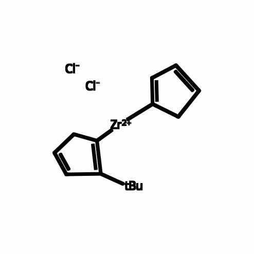 CC(C)(C)C1=[C]([Zr+2][C]2=CC=CC2)CC=C1.[Cl-].[Cl-]